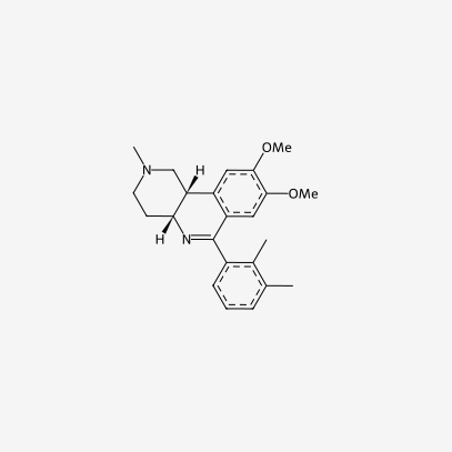 COc1cc2c(cc1OC)[C@H]1CN(C)CC[C@H]1N=C2c1cccc(C)c1C